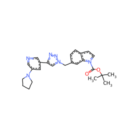 CC(C)(C)OC(=O)n1ccc2ccc(Cn3cc(-c4cncc(N5CCCC5)c4)nn3)cc21